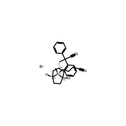 C[N+]1(CCCC#N)[C@@H]2CC[C@H]1C[C@@H](CC(C#N)(c1ccccc1)c1ccccc1)C2.[Br-]